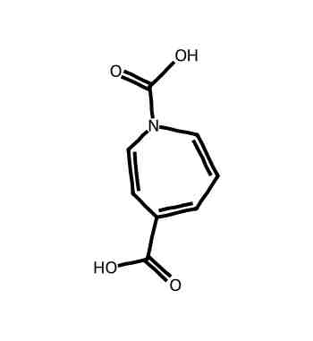 O=C(O)C1=CC=CN(C(=O)O)C=C1